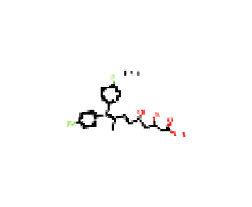 CC(/C=C/C(O)CC(O)CC(=O)O)=C(c1ccc(F)cc1)c1ccc(F)cc1.[NaH]